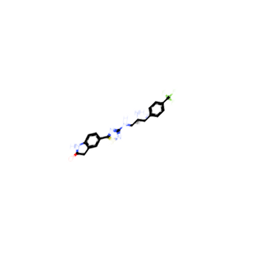 N[C@@H](CNc1nsc(-c2ccc3c(c2)CC(=O)N3)n1)Cc1ccc(C(F)(F)F)cc1